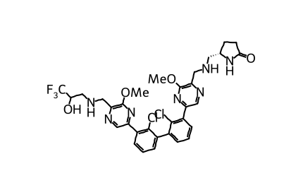 COc1nc(-c2cccc(-c3cccc(-c4cnc(CNC[C@@H]5CCC(=O)N5)c(OC)n4)c3Cl)c2Cl)cnc1CNCC(O)C(F)(F)F